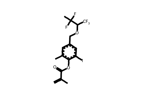 C=C(C)C(=O)Oc1c(C)cc(COC(C(C)(F)F)C(F)(F)F)cc1I